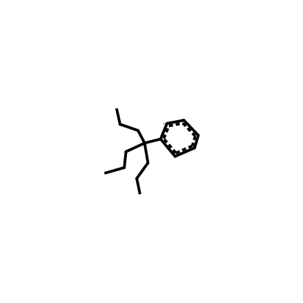 CCCC(CCC)(CCC)c1[c]cccc1